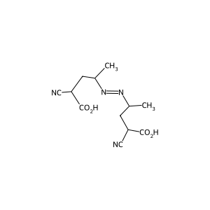 CC(CC(C#N)C(=O)O)N=NC(C)CC(C#N)C(=O)O